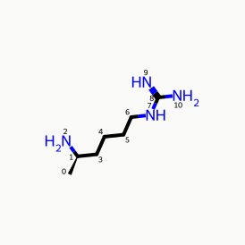 C[C@@H](N)CCCCNC(=N)N